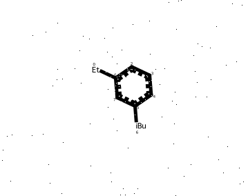 CCc1cccc(C(C)CC)c1